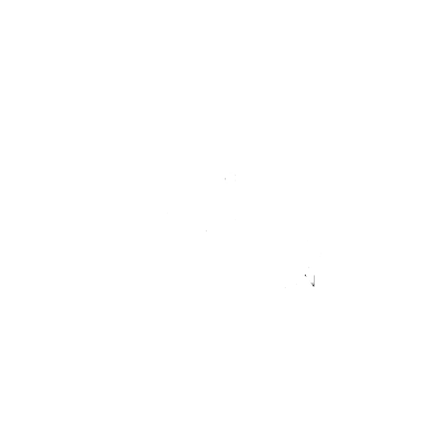 CCC1CC(C)OC(c2ccncc2)O1